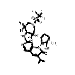 [2H]C1([2H])CN(S(=O)(=O)C([2H])([2H])[2H])CC([2H])([2H])C1Nc1ncc2cc(C(F)F)c(=O)n([C@@H]3CCC[C@@]3(C)O)c2n1